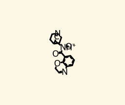 O=C(c1cccc2c1OCC=N2)[NH+]([O-])C1CN2CCC1CC2